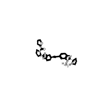 NN1CCC[C@H]1c1nc2ccc(C#Cc3ccc4nc([C@@H]5CCCN5C(=O)[C@H]5CCCO5)[nH]c4c3)cc2n1N